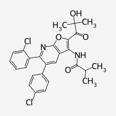 CC(C)C(=O)Nc1c(C(=O)C(C)(C)O)oc2nc(-c3ccccc3Cl)c(-c3ccc(Cl)cc3)cc12